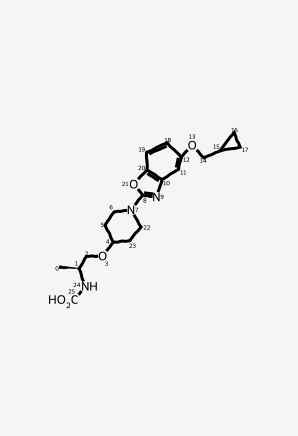 C[C@@H](COC1CCN(c2nc3cc(OCC4CC4)ccc3o2)CC1)NC(=O)O